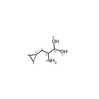 NC(CC1CC1)C(O)O